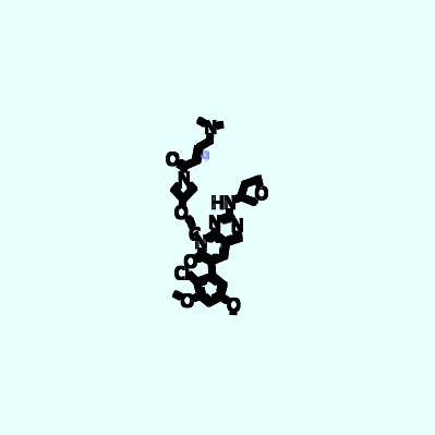 COc1cc(OC)c(Cl)c(-c2cc3cnc(NC4CCOC4)nc3n(CCOC3CN(C(=O)/C=C/CN(C)C)C3)c2=O)c1